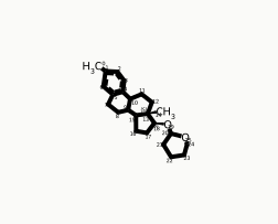 Cc1ccc2c(c1)CCC1C2CC[C@@]2(C)C1CC[C@@H]2OC1CCCCO1